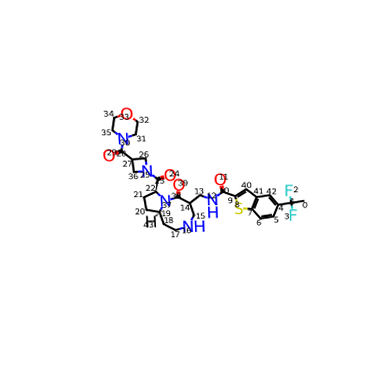 CC(F)(F)c1ccc2sc(C(=O)NCC3CNCC[C@H]4CC[C@@H](C(=O)N5CC(C(=O)N6CCOCC6)C5)N4C3=O)cc2c1